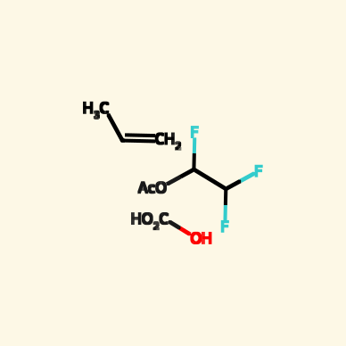 C=CC.CC(=O)OC(F)C(F)F.O=C(O)O